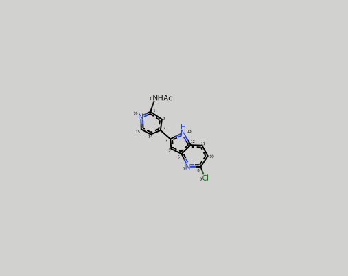 CC(=O)Nc1cc(-c2cc3nc(Cl)ccc3[nH]2)ccn1